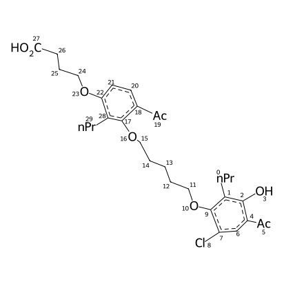 CCCc1c(O)c(C(C)=O)cc(Cl)c1OCCCCCOc1c(C(C)=O)ccc(OCCCC(=O)O)c1CCC